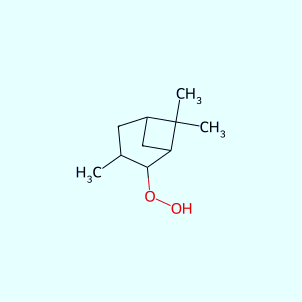 CC1CC2CC(C1OO)C2(C)C